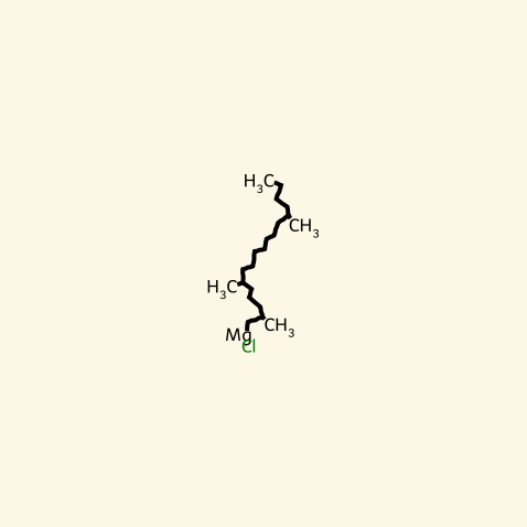 CCCCC(C)CCCCCCCC(C)CCCC(C)[CH2][Mg][Cl]